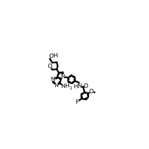 COc1ccc(F)cc1C(=O)NCc1ccc(-n2cc(C3CCC(CO)OC3)c3ncnc(N)c32)cc1